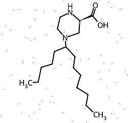 CCCCCCCC(CCCCC)N1CCN[C@@H](C(=O)O)C1